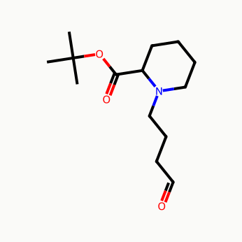 CC(C)(C)OC(=O)C1CCCCN1CCCC=O